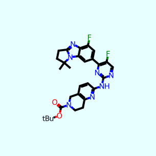 CC(C)(C)OC(=O)N1CCc2nc(Nc3ncc(F)c(-c4cc(F)c5nc6n(c5c4)C(C)(C)CC6)n3)ccc2C1